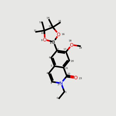 CCn1ccc2cc(B3OC(C)(C)C(C)(C)O3)c(OC)cc2c1=O